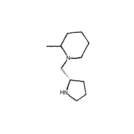 CC1CCCCN1C[C@@H]1CCCN1